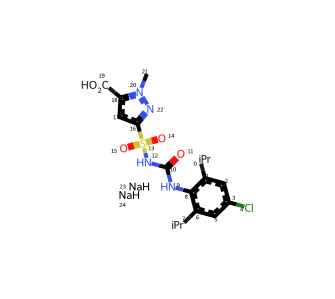 CC(C)c1cc(Cl)cc(C(C)C)c1NC(=O)NS(=O)(=O)c1cc(C(=O)O)n(C)n1.[NaH].[NaH]